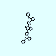 c1ccc(Oc2ccccc2-c2ccc(-c3cnc(-c4ccc(-c5ccccc5Oc5ccccc5)s4)c4nsnc34)s2)cc1